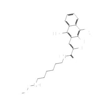 COBNCCCCCCNC(=O)/C(C)=C/c1c(Cl)c(OC)c2ccccc2c1C